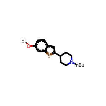 CCCCN1CCC(c2cc3ccc(OCC)cc3s2)CC1